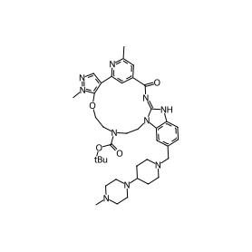 Cc1cc2cc(n1)-c1cnn(C)c1OCCN(C(=O)OC(C)(C)C)CCN1/C(=N/C2=O)Nc2ccc(CN3CCC(N4CCN(C)CC4)CC3)cc21